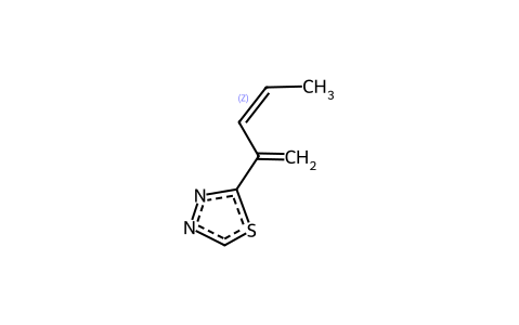 C=C(/C=C\C)c1nncs1